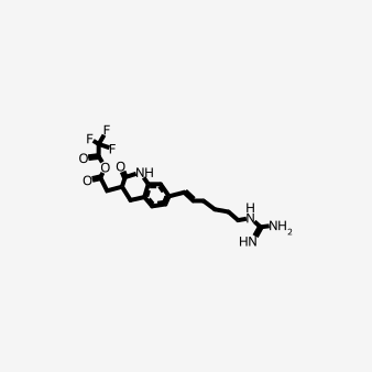 N=C(N)NCCCCC=Cc1ccc2c(c1)NC(=O)C(CC(=O)OC(=O)C(F)(F)F)C2